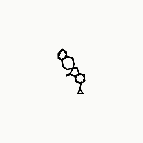 O=C1c2cc(C3CC3)ccc2CC12CCc1ccccc1CC2